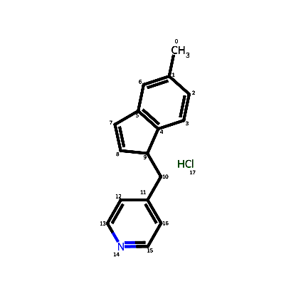 Cc1ccc2c(c1)C=CC2Cc1ccncc1.Cl